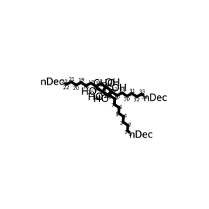 CCCCCCCCCCCCCCCCCCC(O)[C@@H](O)[C@](O)(CCCCCCCCCCCCCCCCCC)[C@@](O)(CCCCCCCCCCCCCCCCCC)[C@@H](O)C=O